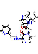 Cc1cnc(NCCc2ccccn2)c(=O)n1CC(=O)NC1c2ccc3cccc1c3n2